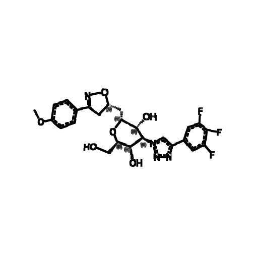 COc1ccc(C2=NO[C@H](C[C@H]3O[C@H](CO)[C@H](O)[C@H](n4cc(-c5cc(F)c(F)c(F)c5)nn4)[C@H]3O)C2)cc1